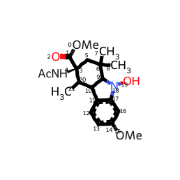 COC(=O)[C@]1(NC(C)=O)CC(C)(C)C2C(c3ccc(OC)cc3N2O)C1C